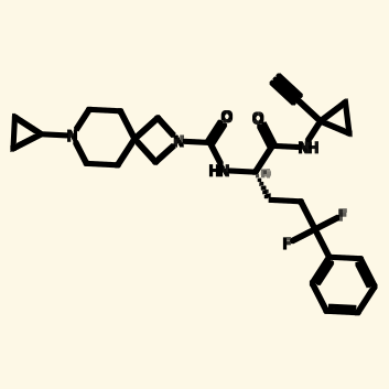 C#CC1(NC(=O)[C@H](CCC(F)(F)c2ccccc2)NC(=O)N2CC3(CCN(C4CC4)CC3)C2)CC1